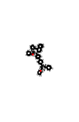 c1ccc(-c2nc(-c3ccccc3)nc(-c3ccc(-c4ccc(N5c6ccc7ccccc7c6-c6ccccc6-n6c5cc5ccccc56)cc4)cc3)n2)cc1